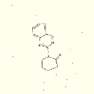 O=C1CCCCN1c1ncc2ccccc2n1